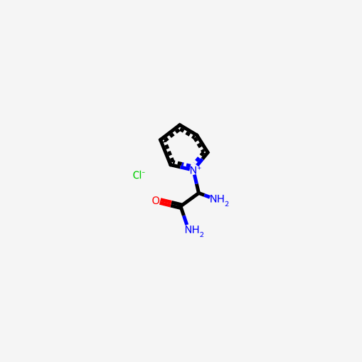 NC(=O)C(N)[n+]1ccccc1.[Cl-]